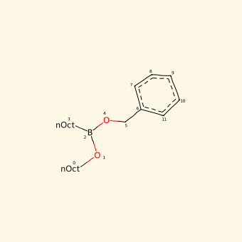 CCCCCCCCOB(CCCCCCCC)OCc1ccccc1